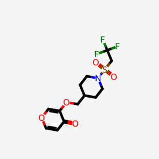 O=c1ccocc1OCC1CCN(S(=O)(=O)CC(F)(F)F)CC1